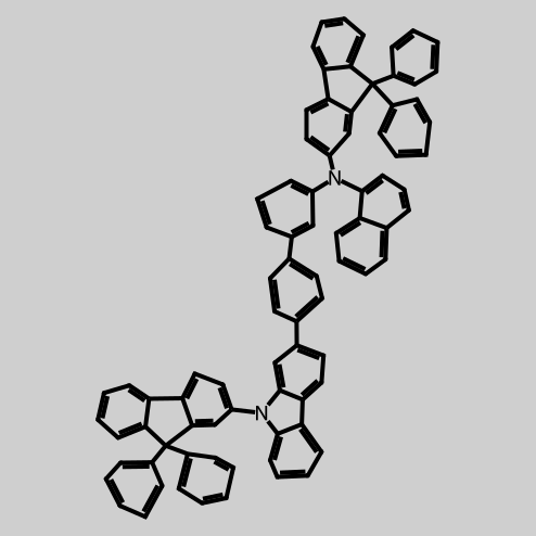 c1ccc(C2(c3ccccc3)c3ccccc3-c3ccc(N(c4cccc(-c5ccc(-c6ccc7c8ccccc8n(-c8ccc9c(c8)C(c8ccccc8)(c8ccccc8)c8ccccc8-9)c7c6)cc5)c4)c4cccc5ccccc45)cc32)cc1